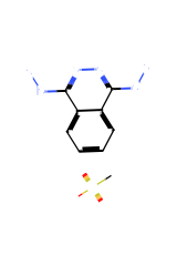 CS(=O)(=O)O.NNc1nnc(NN)c2ccccc12